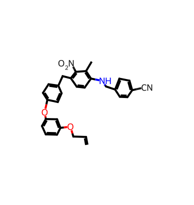 C=CCOc1cccc(Oc2ccc(Cc3ccc(NCc4ccc(C#N)cc4)c(C)c3[N+](=O)[O-])cc2)c1